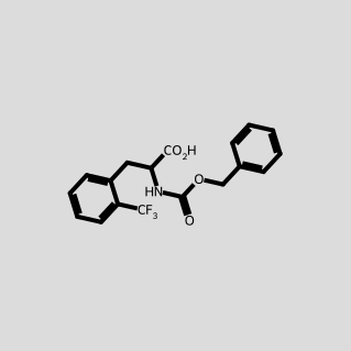 O=C(NC(Cc1ccccc1C(F)(F)F)C(=O)O)OCc1ccccc1